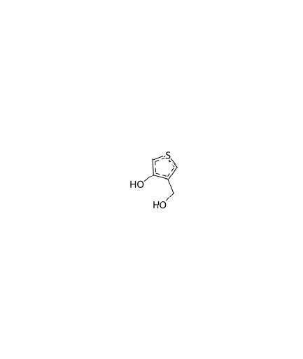 OCc1cscc1O